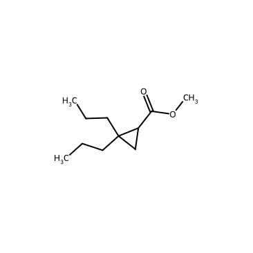 CCCC1(CCC)CC1C(=O)OC